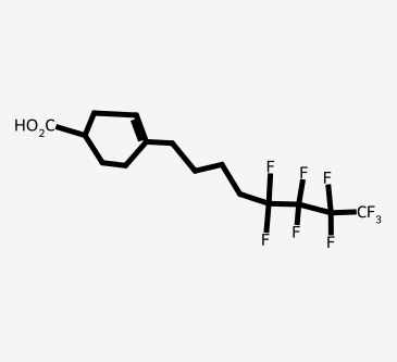 O=C(O)C1CC=C(CCCCC(F)(F)C(F)(F)C(F)(F)C(F)(F)F)CC1